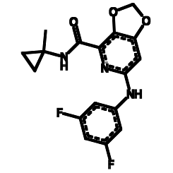 CC1(NC(=O)c2nc(Nc3cc(F)cc(F)c3)cc3c2OCO3)CC1